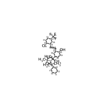 CC(C)(C)C(C(C)(C)c1ccccc1)C(C)(C)c1ccc(O)c(N=Nc2cc(C(F)(F)F)ccc2Cl)c1